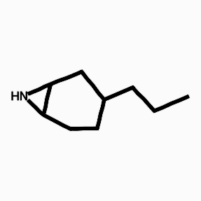 CCCC1CCC2NC2C1